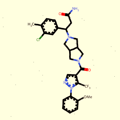 COc1ccccc1-n1ncc(C(=O)N2CC3CN(C(CC(N)=O)c4ccc(C)c(Cl)c4)CC3C2)c1C(F)(F)F